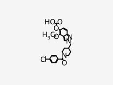 COc1c(OC(=O)O)ccc2nn(CC3CCN(C(=O)c4ccc(Cl)cc4)CC3)cc12